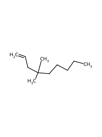 C=CCC(C)(C)CCCCC